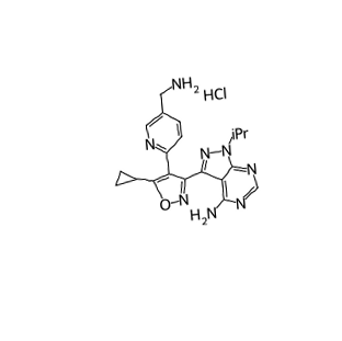 CC(C)n1nc(-c2noc(C3CC3)c2-c2ccc(CN)cn2)c2c(N)ncnc21.Cl